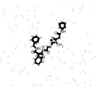 Cn1c(CC(=O)Nc2ccccc2)nnc1SCC(=O)Nc1sc2c(c1C(=O)NCc1ccccc1)CCCC2